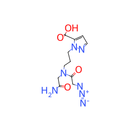 [N-]=[N+]=NCC(=O)N(CCCn1nccc1C(=O)O)CC(N)=O